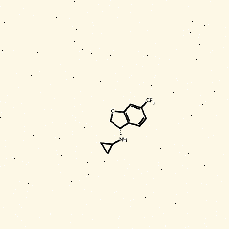 FC(F)(F)c1ccc2c(c1)OC[C@H]2NC1CC1